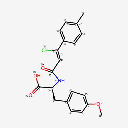 COc1ccc(C[C@H](NC(=O)/C=C(\Cl)c2ccc(C)cc2)C(=O)O)cc1